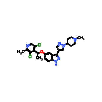 Cc1ncc(Cl)c(C(C)Oc2ccc3[nH]nc(-c4cnn(C5CCN(C)CC5)c4)c3c2)c1Cl